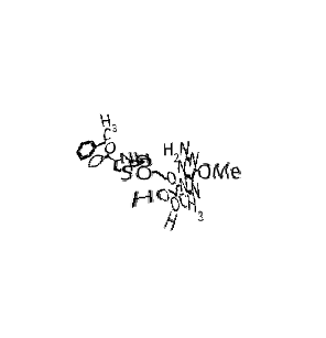 COc1nc(N)nc2c1ncn2[C@H](OCCOP1(=O)N[C@H](C(=O)O[C@@H](C)c2ccccc2)CS1)[C@](C)(O)CO